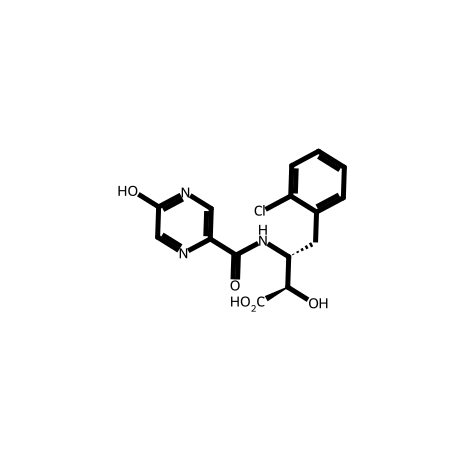 O=C(N[C@H](Cc1ccccc1Cl)[C@@H](O)C(=O)O)c1cnc(O)cn1